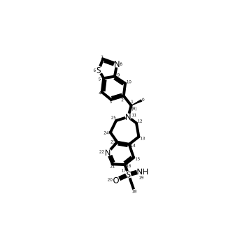 C[C@H](c1ccc2scnc2c1)N1CCc2cc(S(C)(=N)=O)cnc2CC1